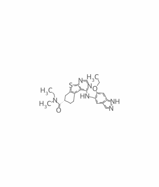 CCOc1cc2[nH]ncc2cc1Nc1ncnc2sc3c(c12)CC[C@H](C(=O)N(C)CC)C3